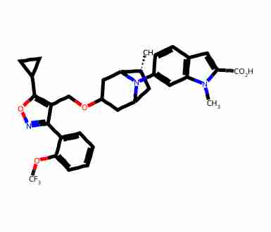 C[C@@H]1CC2CC(OCc3c(-c4ccccc4OC(F)(F)F)noc3C3CC3)CC1N2c1ccc2cc(C(=O)O)n(C)c2c1